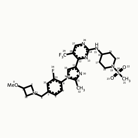 COC1CN(Cc2ccc(-n3cc(-c4nc(NC5CCN(S(C)(=O)=O)CC5)ncc4C(F)(F)F)nc3C)c(F)c2)C1